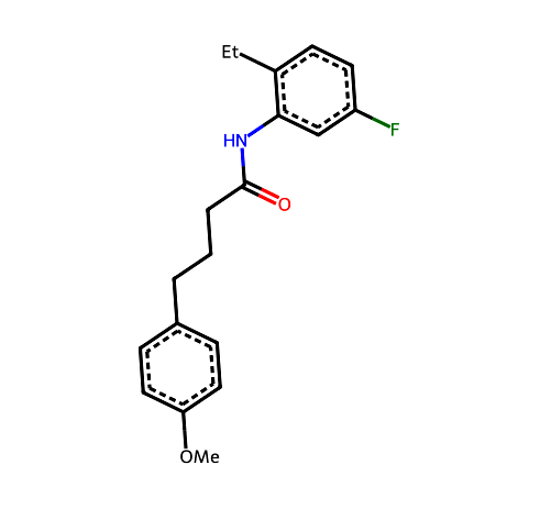 CCc1ccc(F)cc1NC(=O)CCCc1ccc(OC)cc1